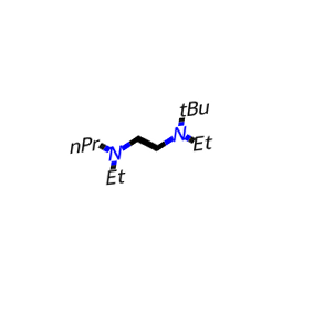 CCCN(CC)CCN(CC)C(C)(C)C